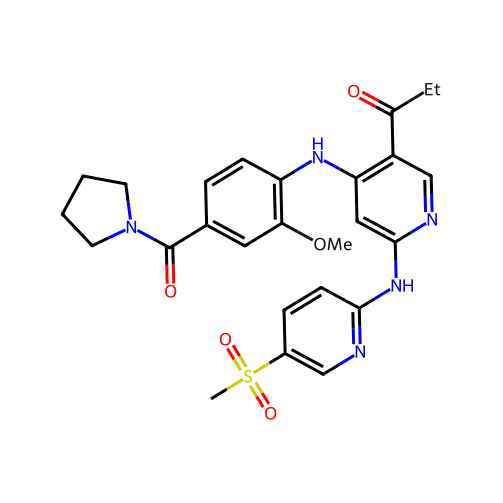 CCC(=O)c1cnc(Nc2ccc(S(C)(=O)=O)cn2)cc1Nc1ccc(C(=O)N2CCCC2)cc1OC